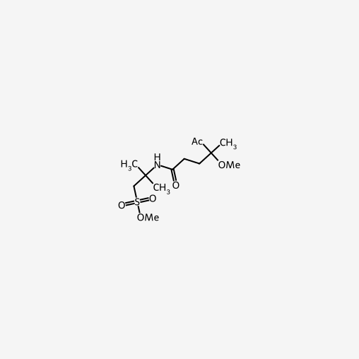 COC(C)(CCC(=O)NC(C)(C)CS(=O)(=O)OC)C(C)=O